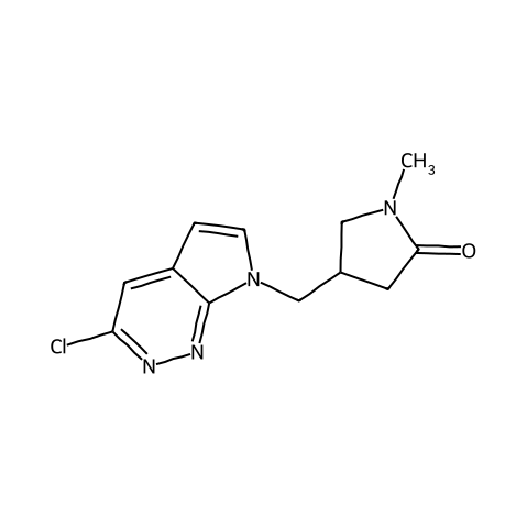 CN1CC(Cn2ccc3cc(Cl)nnc32)CC1=O